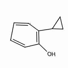 Oc1ccc[c]c1C1CC1